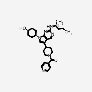 CCC[C@H](C)Nc1ncc2c(C3CCN(C(=O)c4ccncc4)CC3)cn([C@H]3CC[C@H](O)CC3)c2n1